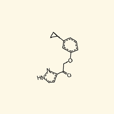 O=C(COc1cccc(C2CC2)c1)c1cc[nH]n1